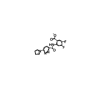 COC(=O)c1cc(F)c(F)cc1NC(=O)c1ccc(-n2cccc2)nn1